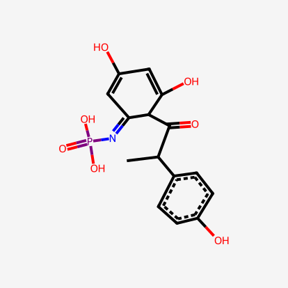 CC(C(=O)C1C(O)=CC(O)=CC1=NP(=O)(O)O)c1ccc(O)cc1